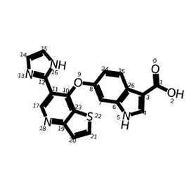 O=C(O)c1c[nH]c2cc(Oc3c(-c4ncc[nH]4)cnc4ccsc34)ccc12